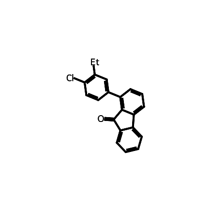 CCc1cc(-c2cccc3c2C(=O)c2ccccc2-3)ccc1Cl